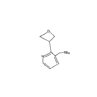 CC(C)(C)c1cccnc1C1COC1